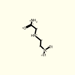 CCN(CC)CCNCC(N)=O